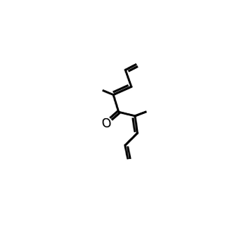 C=CC=C(C)C(=O)C(C)=CC=C